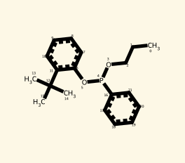 CCCOP(Oc1ccccc1C(C)(C)C)c1ccccc1